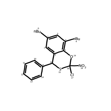 CCCCc1cc(C(C)CC)c2c(c1)C(c1ccccc1)SC(Cl)([N+](=O)[O-])O2